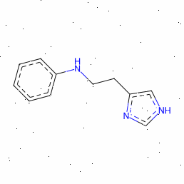 [c]1cccc(NCCc2c[nH]cn2)c1